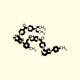 CCN(CC)C1CCN(C(=O)C2CCN(c3nncc4cn(-c5ccc(C)cc5CN(C)CC5CCN(C(=O)C6CCN(c7nncc8cn(-c9ccc(C)cc9)nc78)CC6)C5)nc34)CC2)CC1